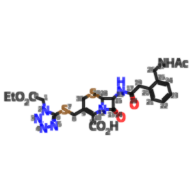 CCOC(=O)Cn1nnnc1SCC1=C(C(=O)O)N2C(=O)C(NC(=O)Cc3ccccc3CNC(C)=O)C2SC1